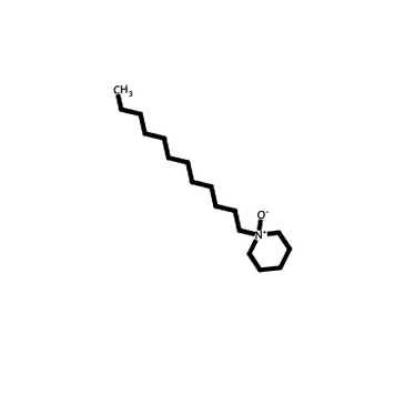 CCCCCCCCCCCC[N+]1([O-])CCCCC1